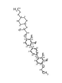 CCCC1CCC(CC(F)COc2ccc(-c3ccc(-c4ccc(OCC)c(F)c4F)cc3)c(F)c2F)CC1